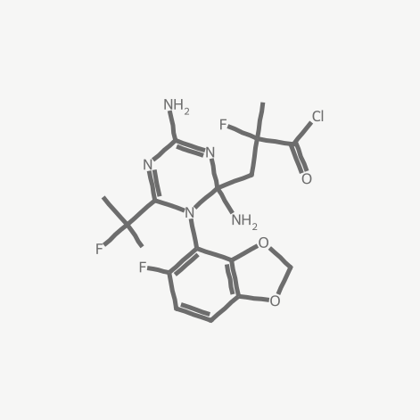 CC(C)(F)C1=NC(N)=NC(N)(CC(C)(F)C(=O)Cl)N1c1c(F)ccc2c1OCO2